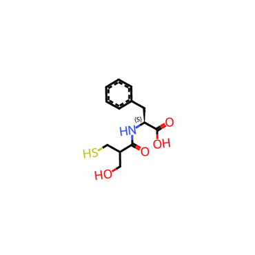 O=C(N[C@@H](Cc1ccccc1)C(=O)O)C(CO)CS